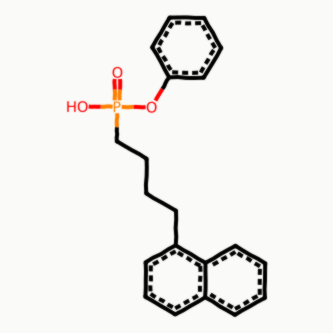 O=P(O)(CCCCc1cccc2ccccc12)Oc1ccccc1